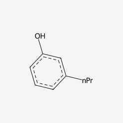 C[C]Cc1cccc(O)c1